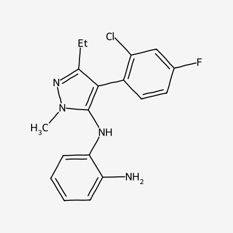 CCc1nn(C)c(Nc2ccccc2N)c1-c1ccc(F)cc1Cl